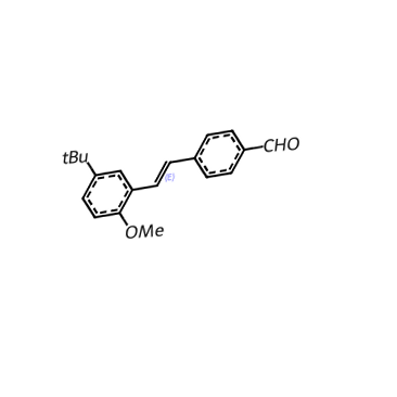 COc1ccc(C(C)(C)C)cc1/C=C/c1ccc(C=O)cc1